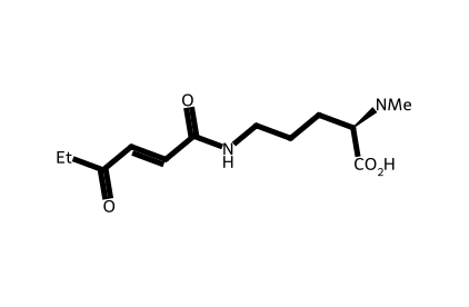 CCC(=O)/C=C/C(=O)NCCC[C@@H](NC)C(=O)O